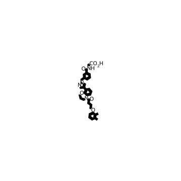 Cc1cccc(OCCCC(=O)N2CCCOc3c(-c4cnn(Cc5cccc(C(=O)NCC(=O)O)c5)c4)cccc32)c1C